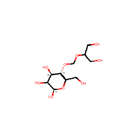 OCC(CO)OCO[C@@H]1C(CO)O[C@@H](O)C(O)[C@H]1O